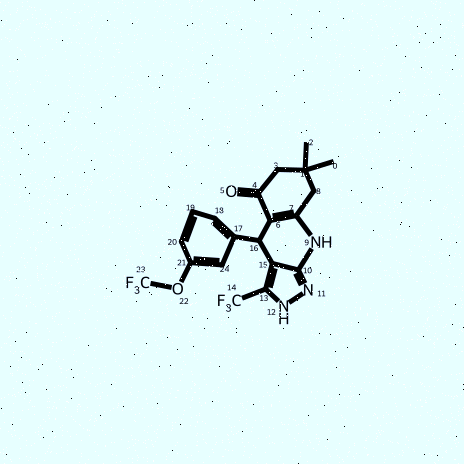 CC1(C)CC(=O)C2=C(C1)Nc1n[nH]c(C(F)(F)F)c1C2c1cccc(OC(F)(F)F)c1